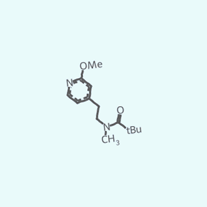 COc1cc(CCN(C)C(=O)C(C)(C)C)ccn1